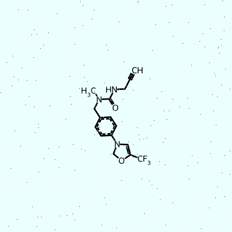 C#CCNC(=O)N(C)Cc1ccc(N2C=C(C(F)(F)F)OC2)cc1